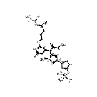 C[C@@H](CCCOc1cc(N(C(=O)OC(C)(C)C)c2cc([C@H]3CC[C@@H](O[Si](C)(C)C(C)(C)C)C3)nn2C(C)(C)C)cc(F)n1)NC(=O)OC(C)(C)C